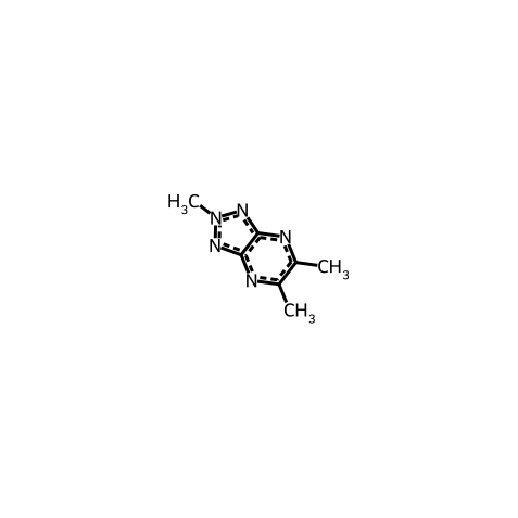 Cc1nc2nn(C)nc2nc1C